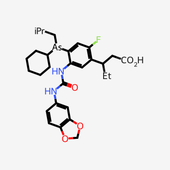 CCC(CC(=O)O)c1cc(NC(=O)Nc2ccc3c(c2)OCO3)c([As](CC(C)C)C2CCCCC2)cc1F